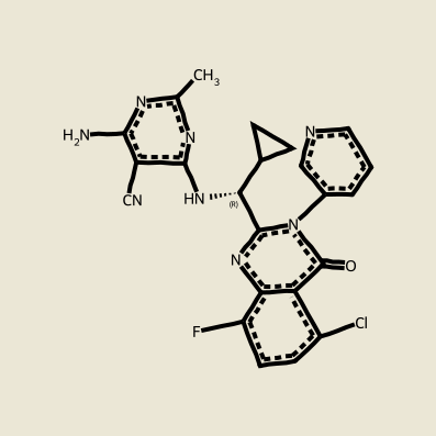 Cc1nc(N)c(C#N)c(N[C@@H](c2nc3c(F)ccc(Cl)c3c(=O)n2-c2cccnc2)C2CC2)n1